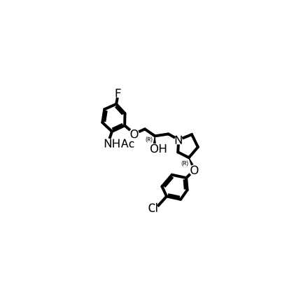 CC(=O)Nc1ccc(F)cc1OC[C@H](O)CN1CC[C@@H](Oc2ccc(Cl)cc2)C1